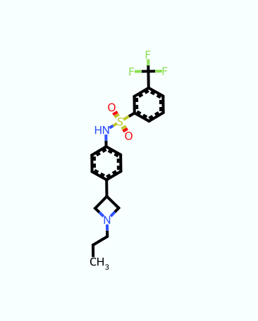 CCCN1CC(c2ccc(NS(=O)(=O)c3cccc(C(F)(F)F)c3)cc2)C1